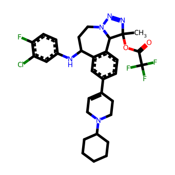 CC1(OC(=O)C(F)(F)F)N=NN2CCC(Nc3ccc(F)c(Cl)c3)c3cc(C4=CCN(C5CCCCC5)CC4)ccc3C21